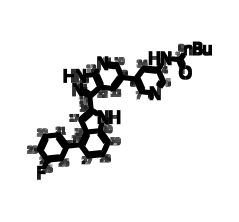 CCCCC(=O)Nc1cncc(-c2cnc3[nH]nc(-c4cc5c(-c6cccc(F)c6)cccc5[nH]4)c3c2)c1